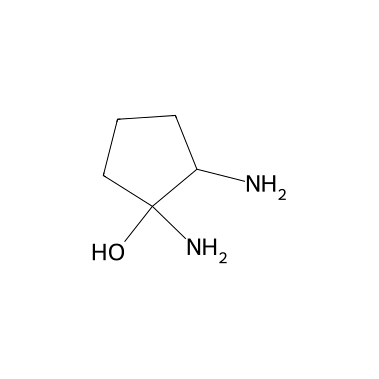 NC1CCCC1(N)O